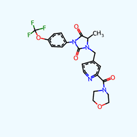 CC1C(=O)N(c2ccc(OC(F)(F)F)cc2)C(=O)N1Cc1ccnc(C(=O)N2CCOCC2)c1